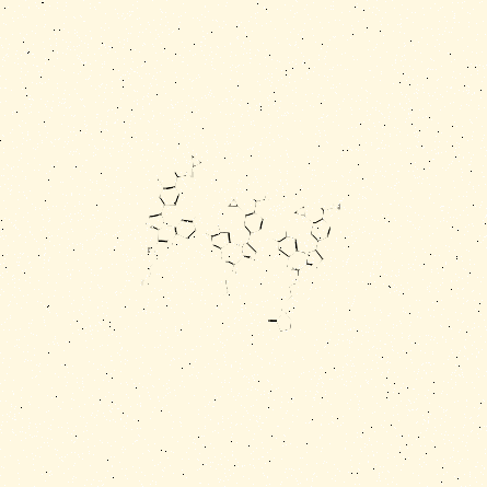 NC(=O)c1ccc(-c2cnc3c(NCCCN4CCCC4=O)nc4cc(F)c(F)cc4n23)cc1C1CC1.NC(=O)c1ccc(-c2cnc3c(NCCO)nc4cc(F)c(F)cc4n23)cc1C1CC1.O=C(O)NCCCNc1nc2ccc(F)cc2n2c(-c3ccc(C(=O)NC4CC4)c(Cl)c3)cnc12